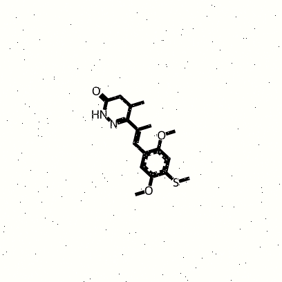 COc1cc(SC)c(OC)cc1C=C(C)C1=NNC(=O)CC1C